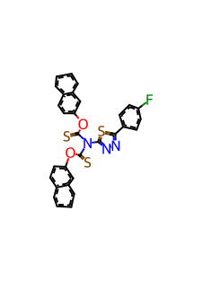 Fc1ccc(-c2nnc(N(C(=S)Oc3ccc4ccccc4c3)C(=S)Oc3ccc4ccccc4c3)s2)cc1